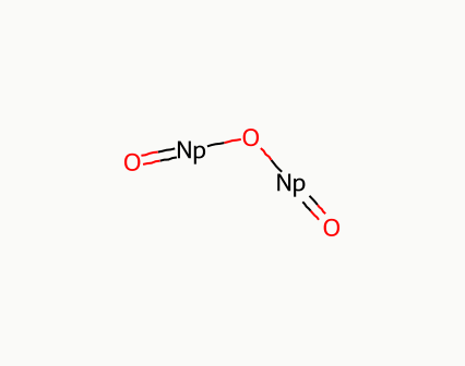 [O]=[Np][O][Np]=[O]